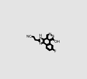 N#CCCc1nc2c3ccc(F)cc3c3c(O)nncc3c2[nH]1